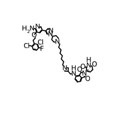 Nc1ncc(-c2cnn(C3CCN(CCCCCCCCN4CC(CNc5cccc6c5C(=O)N([C@H]5CCC(=O)NC5=O)C6=O)C4)CC3)c2)cc1OCCc1c(Cl)ccc(F)c1Cl